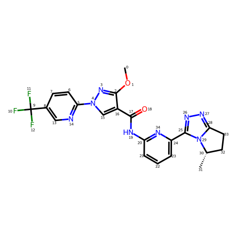 COc1nn(-c2ccc(C(F)(F)F)cn2)cc1C(=O)Nc1cccc(-c2nnc3n2[C@@H](C)CC3)n1